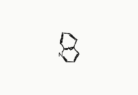 C1=CC23C=CC=NC2(C=C1)CCC3